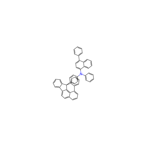 c1ccc(-c2ccc(N(c3ccccc3)c3ccc(C45c6ccccc6-c6ccc7cccc(c7c64)-c4ccccc45)cc3)c3ccccc23)cc1